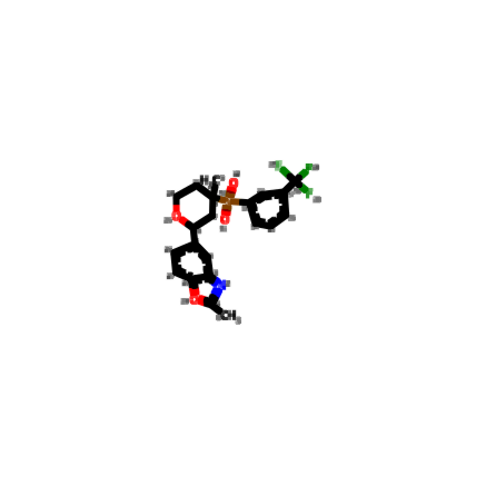 Cc1nc2cc(C3CC(C)(S(=O)(=O)c4cccc(C(F)(F)F)c4)CCO3)ccc2o1